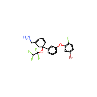 NCC1=CC=CC(OC(F)(F)C(F)F)(c2cccc(Oc3cc(Br)ccc3F)c2)C1